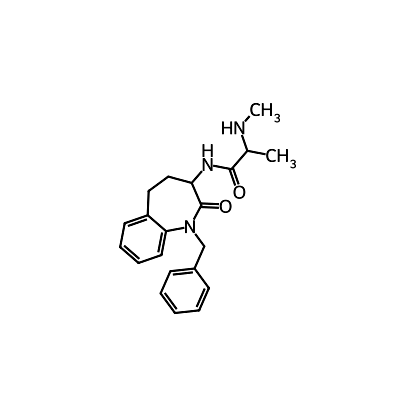 CNC(C)C(=O)NC1CCc2ccccc2N(Cc2ccccc2)C1=O